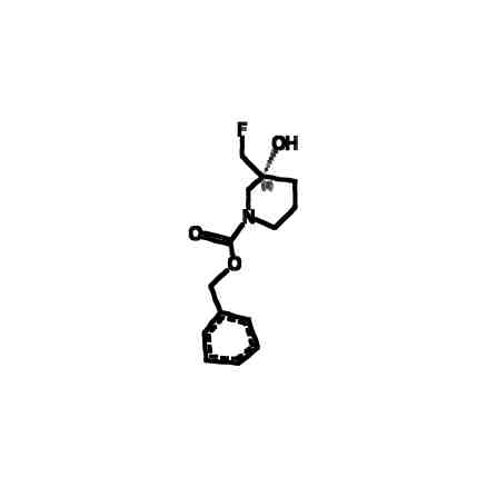 O=C(OCc1ccccc1)N1CCC[C@](O)(CF)C1